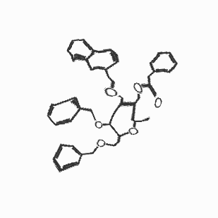 CC1OC(COCc2ccccc2)C(OCc2ccccc2)C(OCc2ccc3ccccc3c2)C1OC(=O)c1ccccc1